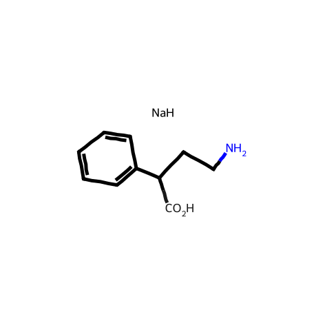 NCCC(C(=O)O)c1ccccc1.[NaH]